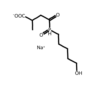 CC(CC(=O)[PH](=O)CCCCCO)C(=O)[O-].[Na+]